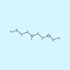 C[CH]CCOCCOCC